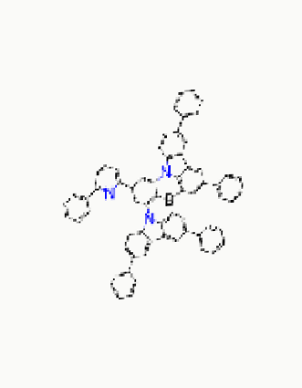 c1ccc(-c2ccc3c(c2)c2cc(-c4ccccc4)cc4c2n3-c2cc(-c3cccc(-c5ccccc5)n3)cc3c2B4c2cc(-c4ccccc4)cc4c5cc(-c6ccccc6)ccc5n-3c24)cc1